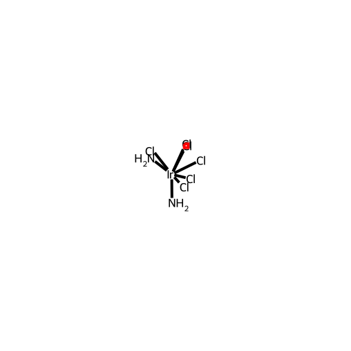 [NH2][Ir]([NH2])([Cl])([Cl])([Cl])([Cl])([Cl])[Cl]